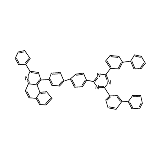 c1ccc(-c2cccc(-c3nc(-c4ccc(-c5ccc(-c6cc(-c7ccccc7)nc7ccc8ccccc8c67)cc5)cc4)nc(-c4cccc(-c5ccccc5)c4)n3)c2)cc1